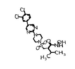 CC(C)[C@@H](CS(=O)(=O)N1CCN(c2ncc(-c3ccc(Cl)c(Cl)c3)cn2)CC1)C(=O)NO